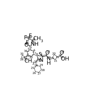 C[C@H](NC(=O)c1cc(-c2sc(C(=O)N[C@H]3C[C@H](C(=O)O)C3)nc2CC2CCCCC2)cc(C2(C)CC2)c1)C(F)(F)F